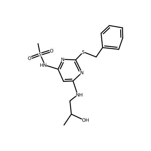 CC(O)CNc1cc(NS(C)(=O)=O)nc(SCc2ccccc2)n1